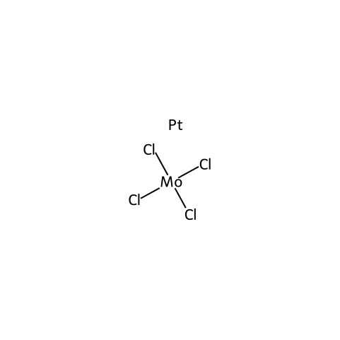 [Cl][Mo]([Cl])([Cl])[Cl].[Pt]